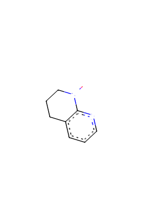 [O-][NH+]1CCCc2cccnc21